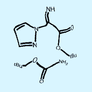 CC(C)(C)OC(=O)C(=N)n1cccn1.CC(C)(C)OC(N)=O